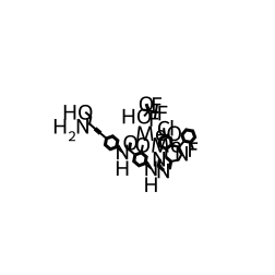 COc1cc(Nc2ncc3c(n2)-c2ccc(Cl)cc2C(c2c(F)cccc2OC)=NC3)ccc1C(=O)Nc1ccc(C#CC(N)CO)cc1.O=C(O)C(F)(F)F